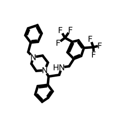 FC(F)(F)c1cc(CNCC(c2ccccc2)N2CCN(Cc3ccccc3)CC2)cc(C(F)(F)F)c1